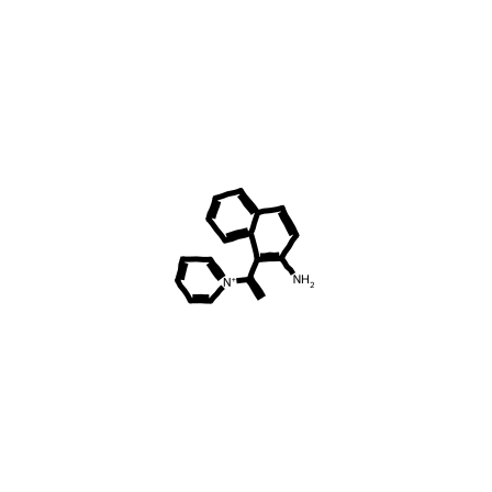 C=C(c1c(N)ccc2ccccc12)[n+]1ccccc1